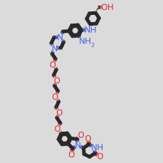 Nc1cc(CN2CCN(CCOCCOCCOCCOCCOc3ccc4c(c3)C(=O)N(C3CCC(=O)NC3=O)C4=O)CC2)ccc1N[C@H]1CC[C@@H](CO)CC1